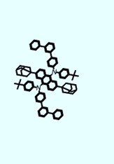 CC(C)(C)c1ccc(N(c2ccc(-c3cccc(-c4ccccc4)c3)cc2)c2c3ccc(C45CC6CC(CC(C6)C4)C5)cc3c(N(c3ccc(-c4cccc(-c5ccccc5)c4)cc3)c3ccc(C(C)(C)C)cc3)c3ccc(C45CC6CC(CC(C6)C4)C5)cc23)cc1